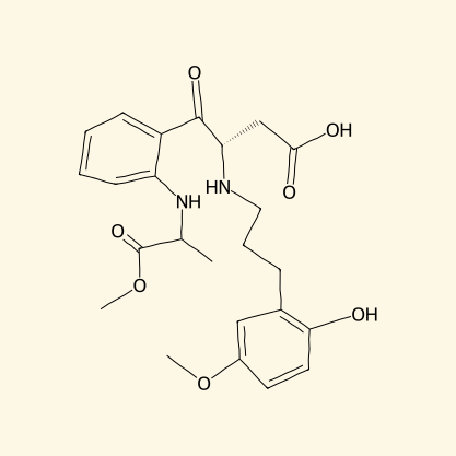 COC(=O)C(C)Nc1ccccc1C(=O)[C@H](CC(=O)O)NCCCc1cc(OC)ccc1O